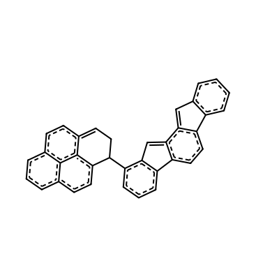 C1=c2c(ccc3c2=Cc2c-3cccc2C2CC=c3ccc4cccc5ccc2c3c54)-c2ccccc21